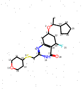 CC(OC1Cc2nc(CSC3CCOCC3)[nH]c(=O)c2C(F)C1)C1CCCC1